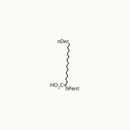 CCCCCCCCCCCCCCCCCCCCCCCC(CCCCC)C(=O)O